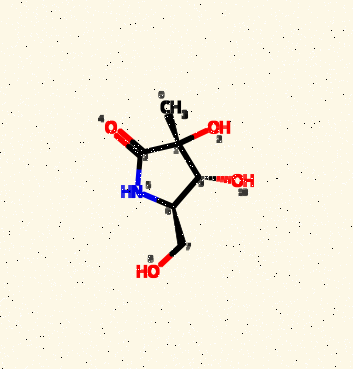 C[C@]1(O)C(=O)N[C@H](CO)[C@H]1O